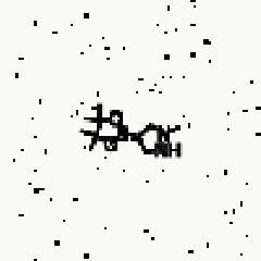 CN1CC(B2OC(C)(C)C(C)(C)O2)CN1